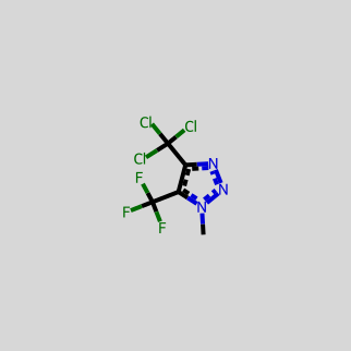 Cn1nnc(C(Cl)(Cl)Cl)c1C(F)(F)F